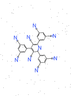 N#Cc1cc(C#N)cc(-c2nc(-c3cc(C#N)cc(C#N)c3)c(C#N)c(-c3cc(C#N)cc(C#N)c3)c2C#N)c1